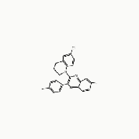 Cc1ccc(-c2nc3ccc(C)cc3nc2N2CCCc3cc(Cl)ccc32)cc1